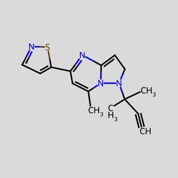 C#CC(C)(C)N1CC=C2N=C(c3ccns3)C=C(C)N21